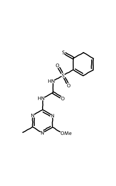 COc1nc(C)nc(NC(=O)NS(=O)(=O)C2=CC=CCC2=S)n1